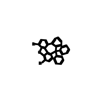 Brc1ccc2c3c1oc1c(Br)ccc(c13)C(c1ccccc1)(c1ccccc1)c1ccccc1-2